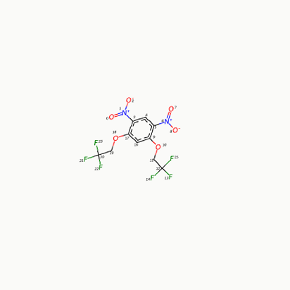 O=[N+]([O-])c1cc([N+](=O)[O-])c(OCC(F)(F)F)cc1OCC(F)(F)F